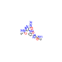 CNC(=O)c1nnc(NC(=O)C2CC2)cc1Nc1cccc(-c2ncc(S(=N)(=O)C3CC3)cn2)c1OC